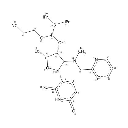 CC[C@H]1O[C@@H](n2ccc(=O)[nH]c2=S)C(N(C)Cc2ccccn2)[C@H]1OP(OCCC#N)N(C(C)C)C(C)C